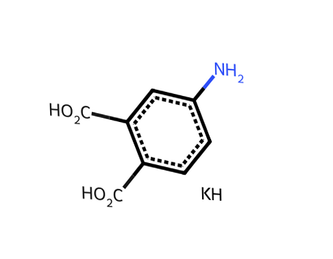 Nc1ccc(C(=O)O)c(C(=O)O)c1.[KH]